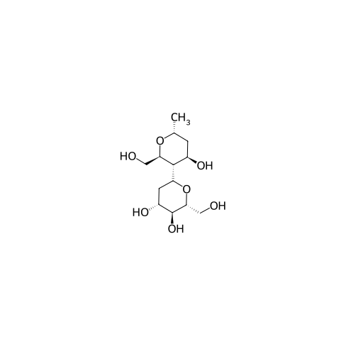 C[C@@H]1C[C@@H](O)[C@H](C2C[C@@H](O)[C@H](O)[C@@H](CO)O2)[C@@H](CO)O1